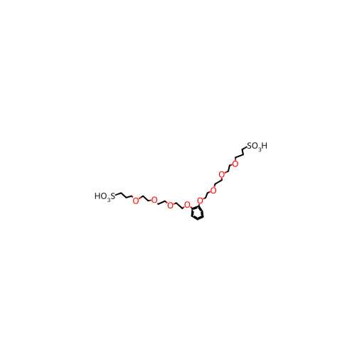 O=S(=O)(O)CCCOCCOCCOCCOc1ccccc1OCCOCCOCCOCCCS(=O)(=O)O